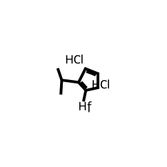 CC(C)C1=[C]([Hf])CC=C1.Cl.Cl